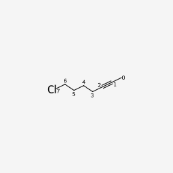 CC#CCCCCCl